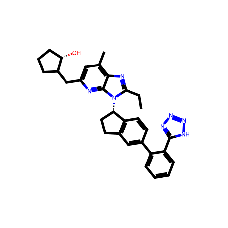 CCc1nc2c(C)cc(CC3CCC[C@@H]3O)nc2n1[C@H]1CCc2cc(-c3ccccc3-c3nnn[nH]3)ccc21